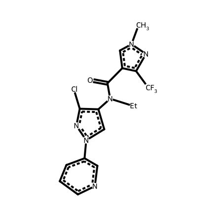 CCN(C(=O)c1cn(C)nc1C(F)(F)F)c1cn(-c2cccnc2)nc1Cl